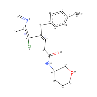 C=N/C(C)=C(Cl)\C(=C/CC(=O)NC1CCCOC1)Cc1ccc(OC)cc1